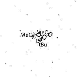 COC(=O)C(C)c1ccc2c3cc(-c4ccccc4OC)ccc3n(C(=O)OC(C)(C)C)c2c1